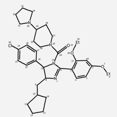 CCOc1ccc(C2=NC(CC3CCCC3)C(c3ccc(Cl)cc3)N2C(=O)N2CCC(N3CCCC3)CC2)c(OCC)c1